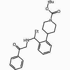 CCC(NCC(=O)c1ccccc1)c1ccccc1C1CCN(C(=O)OC(C)(C)C)CC1